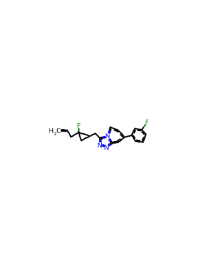 C=CCC1(F)CC1Cc1nnc2cc(-c3cccc(F)c3)ccn12